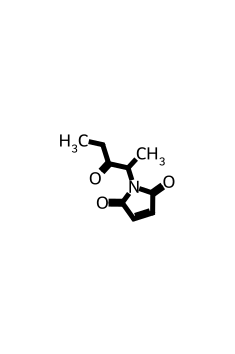 CCC(=O)C(C)N1C(=O)C=CC1=O